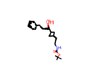 CC(C)(C)OC(=O)NCCC1CC(C(O)CCc2ccccc2)C1